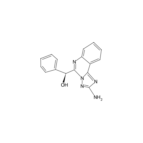 Nc1nc2c3ccccc3nc([C@@H](O)c3ccccc3)n2n1